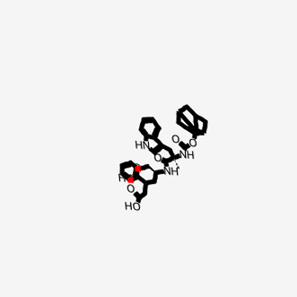 C[C@](Cc1c[nH]c2ccccc12)(NC(=O)OC1C2CC3CC(C2)CC1C3)C(=O)N[C@H](Cc1ccccc1)CC(CC(=O)O)C(=O)O